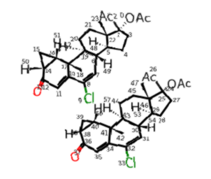 CC(=O)O[C@]1(C(C)=O)CC[C@H]2[C@@H]3C=C(Cl)C4=CC(=O)[C@@H]5C[C@@H]5[C@]4(C)[C@H]3CC[C@@]21C.CC(=O)O[C@]1(C(C)=O)CC[C@H]2[C@@H]3C=C(Cl)C4=CC(=O)[C@@H]5C[C@@H]5[C@]4(C)[C@H]3CC[C@@]21C